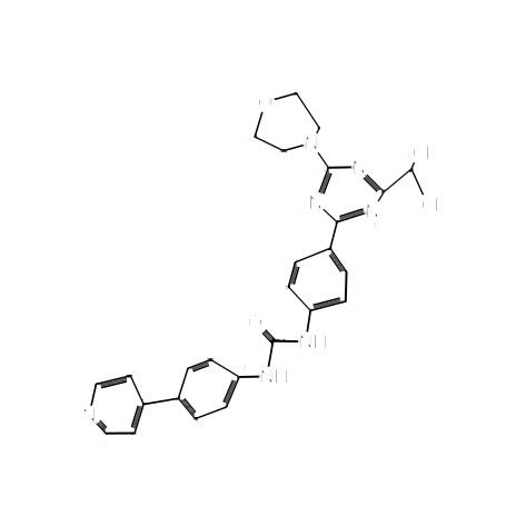 CC(C)c1nc(-c2ccc(NC(=O)Nc3ccc(-c4ccncc4)cc3)cc2)nc(N2CCOCC2)n1